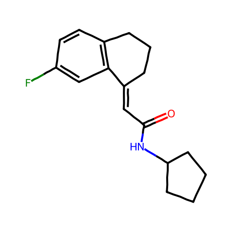 O=C(C=C1CCCc2ccc(F)cc21)NC1CCCC1